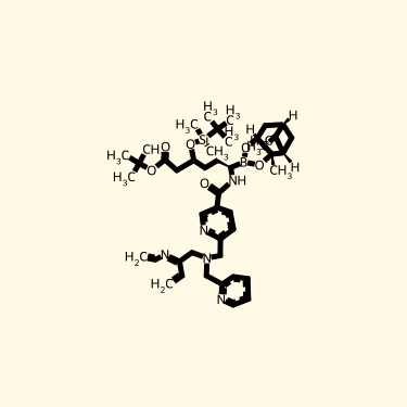 C=C/N=C(\C=C)CN(Cc1ccccn1)Cc1ccc(C(=O)N[C@@H](CCC(CC(=O)OC(C)(C)C)O[Si](C)(C)C(C)(C)C)B2O[C@@H]3C[C@@H]4C[C@@H](C4(C)C)[C@]3(C)O2)cn1